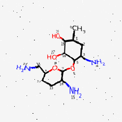 CC1CC(N)C(OC2OC(CN)CCC2N)C(O)C1O